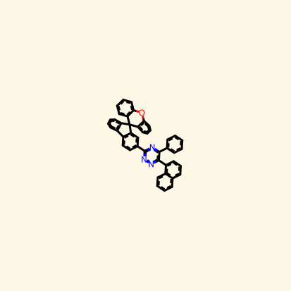 c1ccc(-c2nc(-c3ccc4c(c3)C3(c5ccccc5Oc5ccccc53)c3ccccc3-4)nnc2-c2cccc3ccccc23)cc1